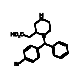 O=C(O)CC1CNCCN1C(c1ccccc1)c1ccc(Br)cc1